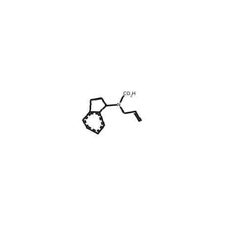 C=CCN(C(=O)O)C1CCc2ccccc21